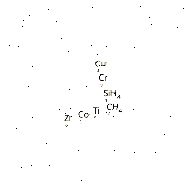 C.[Co].[Cr].[Cu].[SiH4].[Ti].[Zr]